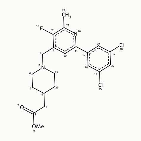 COC(=O)CC1CCN(Cc2cc(-c3cc(Cl)cc(Cl)c3)nc(C)c2F)CC1